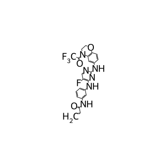 C=CC(=O)Nc1cccc(Nc2nc(Nc3ccc4c(c3)N(C(=O)C(F)(F)F)CCO4)ncc2F)c1